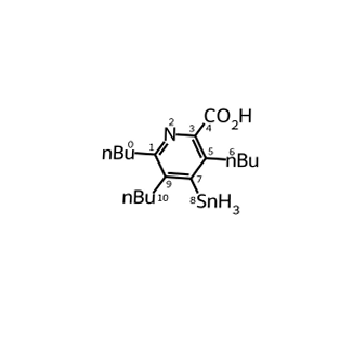 CCCCc1nc(C(=O)O)c(CCCC)[c]([SnH3])c1CCCC